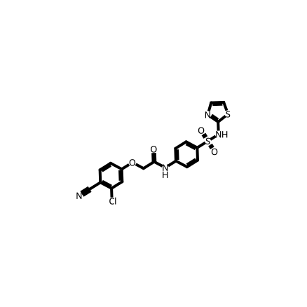 N#Cc1ccc(OCC(=O)Nc2ccc(S(=O)(=O)Nc3nccs3)cc2)cc1Cl